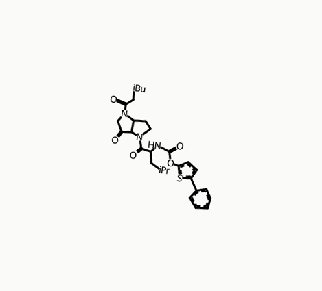 CCC(C)CC(=O)N1CC(=O)C2C1CCN2C(=O)C(CC(C)C)NC(=O)Oc1ccc(-c2ccccc2)s1